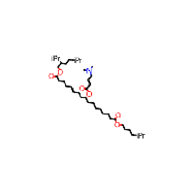 CC(C)CCCCOC(=O)CCCCCCCC(CCCCCCCC(=O)OCC(CCC(C)C)C(C)C)OC(=O)CCCN(C)C